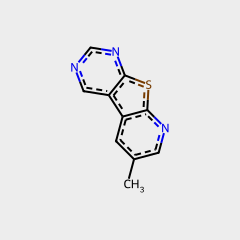 Cc1cnc2sc3ncncc3c2c1